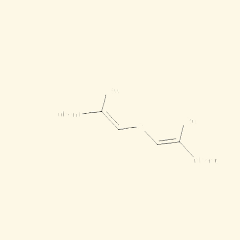 CCCCCC(=COC=C(CCCCC)C(C)(C)C)C(C)(C)C